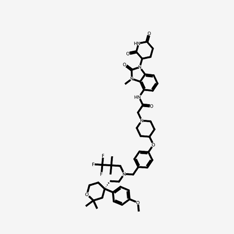 COc1ccc([C@]2(CCN(Cc3ccc(OC4CCN(CC(=O)Nc5cccc6c5n(C)c(=O)n6C5CCC(=O)NC5=O)CC4)cc3)CC(C)(C)C(F)(F)F)CCOC(C)(C)C2)cc1